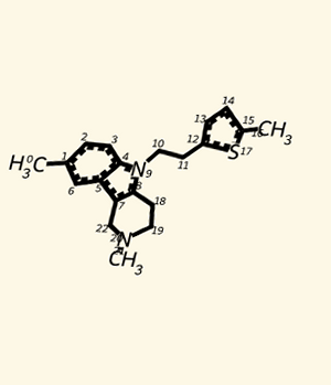 Cc1ccc2c(c1)c1c(n2CCc2ccc(C)s2)CCN(C)C1